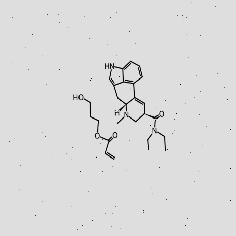 C=CC(=O)OCCCO.CCN(CC)C(=O)[C@@H]1C=C2c3cccc4[nH]cc(c34)C[C@H]2N(C)C1